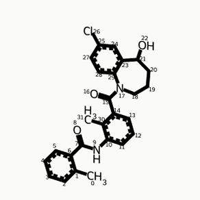 Cc1ccccc1C(=O)Nc1cccc(C(=O)N2CCCC(O)c3cc(Cl)ccc32)c1C